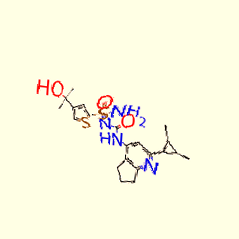 C[C@@H]1C(c2cc(NC(=O)N=S(N)(=O)c3cc(C(C)(C)O)cs3)c3c(n2)CCC3)[C@@H]1C